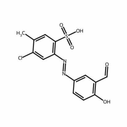 Cc1cc(S(=O)(=O)O)c(N=Nc2ccc(O)c(C=O)c2)cc1Cl